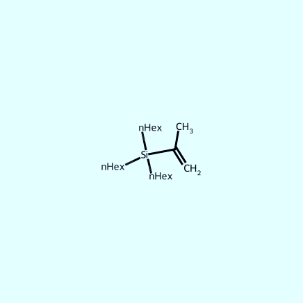 C=C(C)[Si](CCCCCC)(CCCCCC)CCCCCC